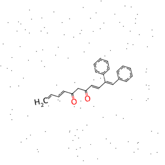 C=CC=CC(=O)CC(=O)C=CC(=Cc1ccccc1)c1ccccc1